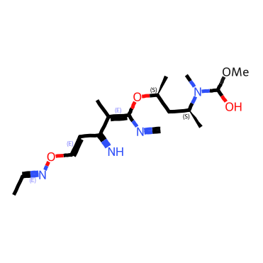 C=N/C(O[C@@H](C)C[C@H](C)N(C)C(O)OC)=C(/C)C(=N)/C=C/O/N=C/C